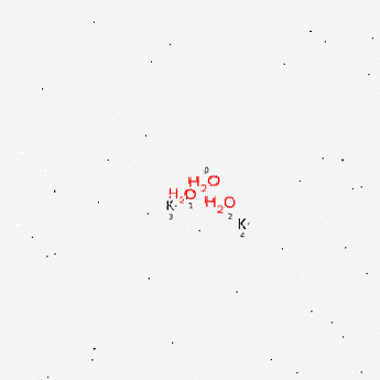 O.O.O.[K].[K]